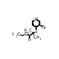 CCOC(=O)C(C)(C)Sc1ccncc1Br